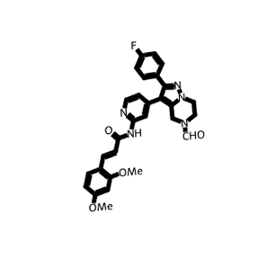 COc1ccc(/C=C/C(=O)Nc2cc(-c3c(-c4ccc(F)cc4)nn4c3CN(C=O)CC4)ccn2)c(OC)c1